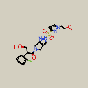 COCCn1ccc(S(=O)(=O)n2cc3c(n2)CN(C(=O)[C@H](CO)c2ccccc2F)C3)n1